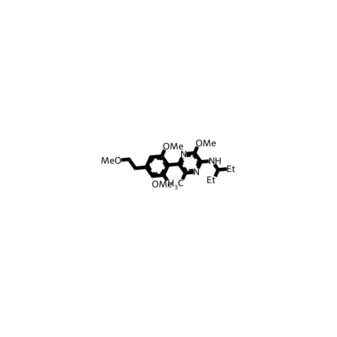 CCC(CC)Nc1nc(C)c(-c2c(OC)cc(CCOC)cc2OC)nc1OC